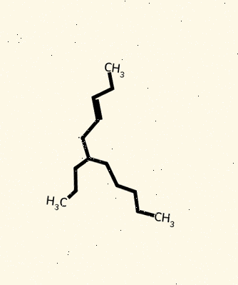 CCC=C[CH]C(CCC)CCCCC